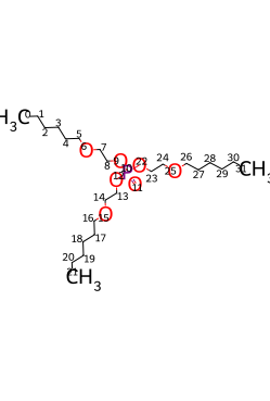 CCCCCCOCCOP(=O)(OCCOCCCCCC)OCCOCCCCCC